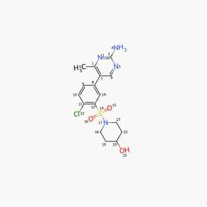 Cc1nc(N)ncc1-c1ccc(Cl)c(S(=O)(=O)N2CCC(O)CC2)c1